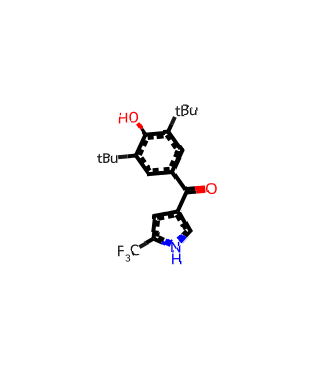 CC(C)(C)c1cc(C(=O)c2c[nH]c(C(F)(F)F)c2)cc(C(C)(C)C)c1O